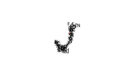 C=C1N(c2ccc(C#N)c(C(F)(F)F)c2F)C(=O)C(C)(C)N1c1ccc(-c2ccc(OCCCCOCC(=O)N[C@H](C(=O)N3CCC[C@@H]3c3nc(-c4scnc4C)c[nH]3)C(C)(C)C)cc2)nc1